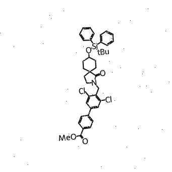 COC(=O)c1ccc(-c2cc(Cl)c(CN3CCC4(CCC(O[Si](c5ccccc5)(c5ccccc5)C(C)(C)C)CC4)C3=O)c(Cl)c2)cc1